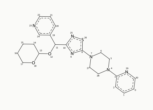 c1ccc(N2CCN(c3nc(C(OC4CCCCO4)c4cccnc4)ns3)CC2)nc1